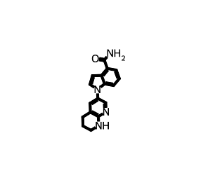 NC(=O)c1cccc2c1ccn2-c1cnc2c(c1)CCCN2